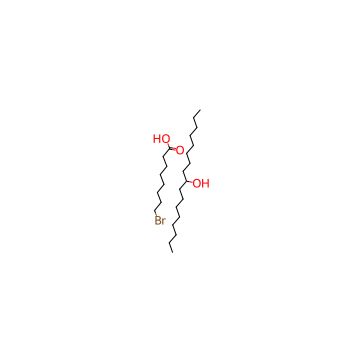 CCCCCCCCC(O)CCCCCCCC.O=C(O)CCCCCCCBr